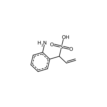 C=CC(c1ccccc1N)S(=O)(=O)O